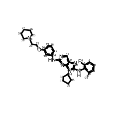 Fc1cccc(F)c1Nc1nc2cnc(Nc3cccc(OCCN4CCCCC4)c3)nc2n1C1CCCC1